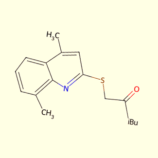 CCC(C)C(=O)CSc1cc(C)c2cccc(C)c2n1